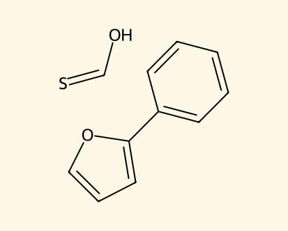 OC=S.c1ccc(-c2ccco2)cc1